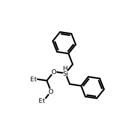 CCOC(CC)O[SiH](Cc1ccccc1)Cc1ccccc1